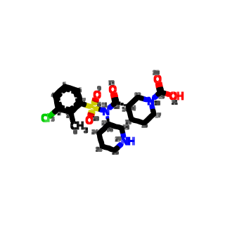 Cc1c(Cl)cccc1S(=O)(=O)N(C(=O)[C@H]1CCCN(C(=O)O)C1)[C@H]1CCCNC1